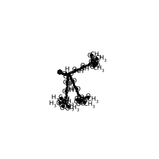 CC(=O)N[C@H]1[C@H](OCCCCC(=O)NCCCNC(=O)CCOCC(COCCC(=O)NCCCNC(=O)CCCCO[C@@H]2O[C@H](COC(C)=O)[C@H](OC(C)=O)[C@@H]3OC(=O)N(C(C)=O)[C@@H]23)(COCCC(=O)NCCCNC(=O)CCCCO[C@@H]2O[C@H](COC(C)=O)[C@H](OC(C)=O)[C@@H]3OC(=O)N(C(C)=O)[C@@H]23)NC(=O)OCc2ccccc2)O[C@H](COC(C)=O)[C@H](OC(C)=O)[C@@H]1OC(C)=O